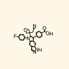 N#CCC1(c2c(-c3ccc(C(=O)O)cc3)c3cc4[nH]ncc4cc3n2-c2ccc(F)cc2)COC1